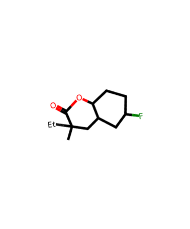 CCC1(C)CC2CC(F)CCC2OC1=O